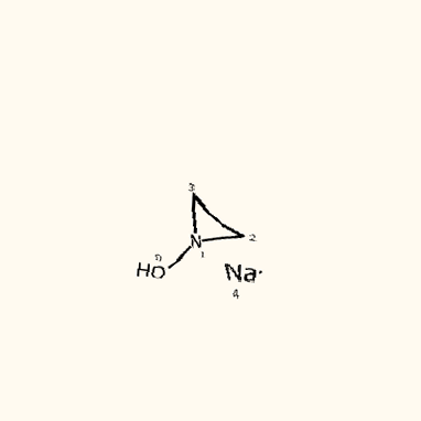 ON1CC1.[Na]